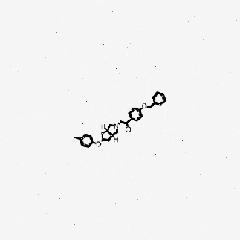 Cc1ccc(O[C@H]2C[C@@H]3CN(CC(=O)c4ccc(OCc5ccccc5)cc4)C[C@@H]3C2)cc1